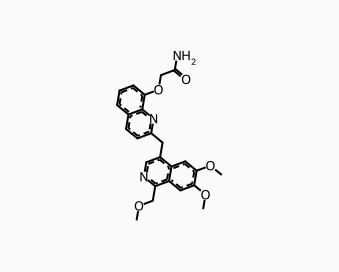 COCc1ncc(Cc2ccc3cccc(OCC(N)=O)c3n2)c2cc(OC)c(OC)cc12